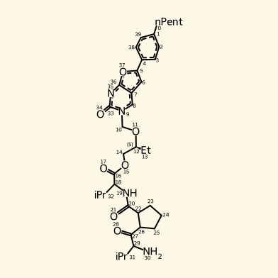 CCCCCc1ccc(-c2cc3cn(CO[C@@H](CC)COC(=O)C(NC(=O)C4CCCC4C(=O)C(N)C(C)C)C(C)C)c(=O)nc3o2)cc1